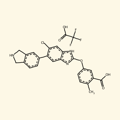 Cc1ccc(Oc2nc3cc(-c4ccc5c(c4)CNC5)c(Cl)cc3[nH]2)cc1C(=O)O.O=C(O)C(F)(F)F